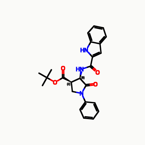 CC(C)(C)OC(=O)[C@@H]1CN(c2ccccc2)C(=O)[C@@H]1NC(=O)c1cc2ccccc2[nH]1